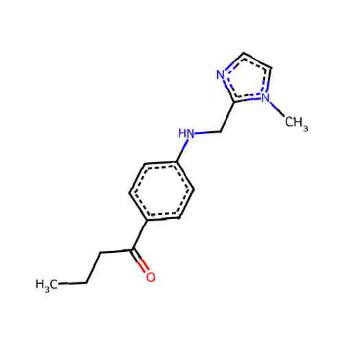 CCCC(=O)c1ccc(NCc2nccn2C)cc1